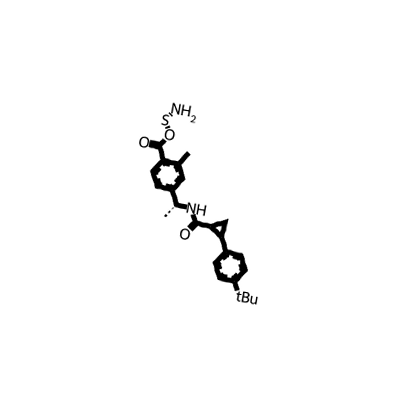 Cc1cc([C@@H](C)NC(=O)C2CC2c2ccc(C(C)(C)C)cc2)ccc1C(=O)OSN